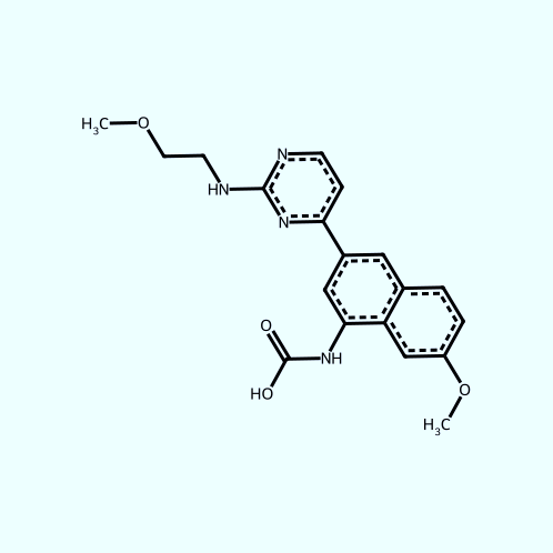 COCCNc1nccc(-c2cc(NC(=O)O)c3cc(OC)ccc3c2)n1